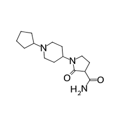 NC(=O)C1CCN(C2CCN(C3CCCC3)CC2)C1=O